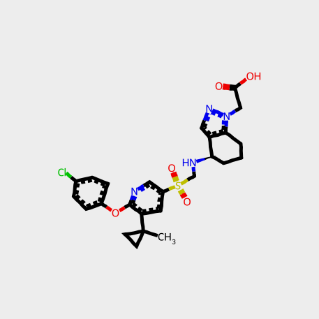 CC1(c2cc(S(=O)(=O)CN[C@@H]3CCCc4c3cnn4CC(=O)O)cnc2Oc2ccc(Cl)cc2)CC1